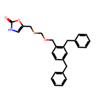 O=c1[nH]cc(CSCOCc2ccc(Cc3ccccc3)cc2Cc2ccccc2)o1